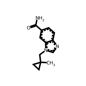 CC1(Cn2cnc3ccc(C(N)=O)cc32)CC1